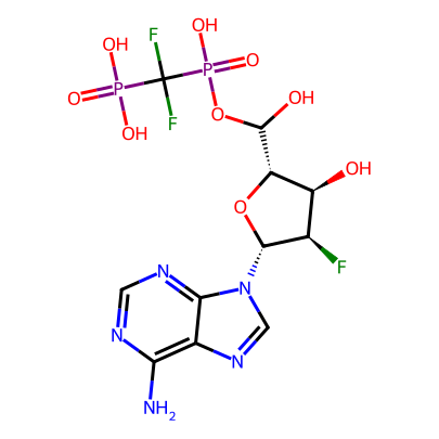 Nc1ncnc2c1ncn2[C@@H]1O[C@H](C(O)OP(=O)(O)C(F)(F)P(=O)(O)O)[C@@H](O)[C@H]1F